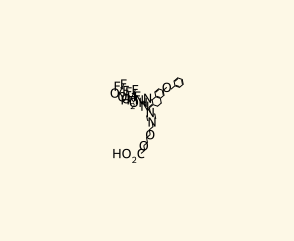 Nc1nc2c(c(N3CCN(CCOCCOCC(=O)O)CC3)n1)CCc1cc(OCc3ccccc3)ccc1-2.O=C(O)C(F)(F)F.O=C(O)C(F)(F)F